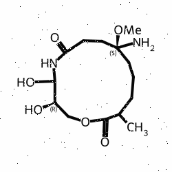 CO[C@@]1(N)CCCC(C)C(=O)OC[C@@H](O)C(O)NC(=O)CC1